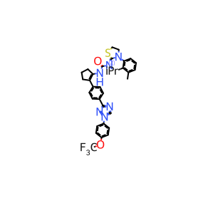 Cc1cccc(N2CCS/C2=N\C(=O)NC2=C(c3ccc(-c4ncn(-c5ccc(OC(F)(F)F)cc5)n4)cc3)CCC2)c1C(C)C